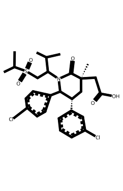 CC(C)C(CS(=O)(=O)C(C)C)N1C(=O)[C@@](C)(CC(=O)O)C[C@H](c2cccc(Cl)c2)C1c1ccc(Cl)cc1